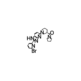 O=C([C@@H]1CCCN(c2ccc3[nH]c(-c4cccc(Br)n4)nc3n2)C1)N1CCCC1